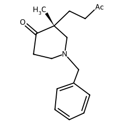 CC(=O)CC[C@]1(C)CN(Cc2ccccc2)CCC1=O